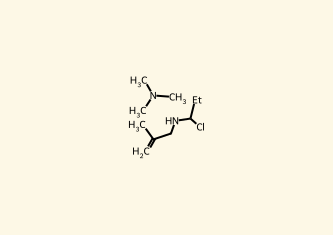 C=C(C)CNC(Cl)CC.CN(C)C